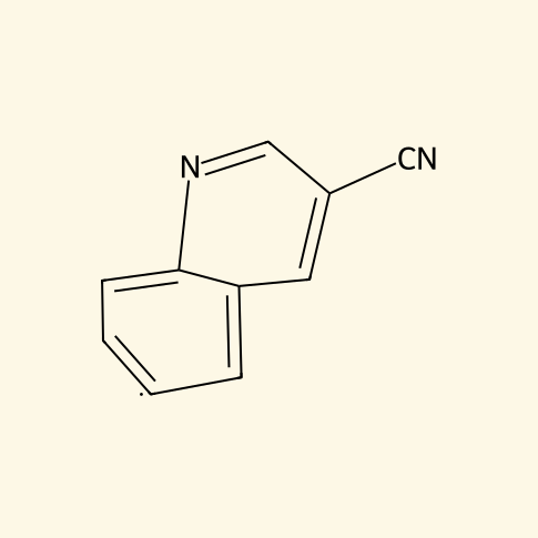 N#Cc1cnc2cc[c]cc2c1